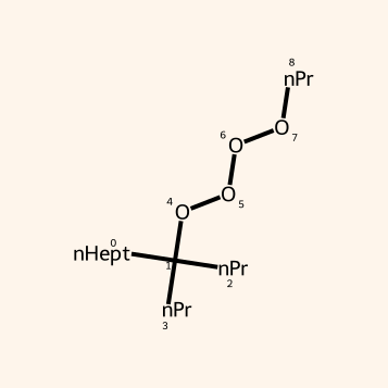 CCCCCCCC(CCC)(CCC)OOOOCCC